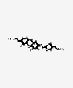 CCCc1ccc2c(c1F)Oc1c(cc(OCC3OCC(CCC)CO3)c(F)c1F)C2